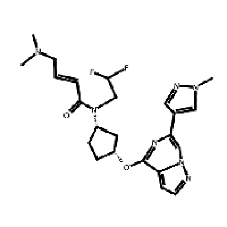 CN(C)C/C=C/C(=O)N(CC(F)F)[C@H]1CC[C@@H](Oc2nc(-c3cnn(C)c3)cn3nccc23)C1